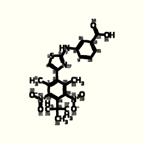 Cc1c(-c2csc(Nc3cccc(C(=O)O)c3)n2)c(C)c([N+](=O)[O-])c(C(C)(C)C)c1[N+](=O)[O-]